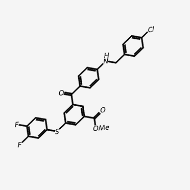 COC(=O)c1cc(Sc2ccc(F)c(F)c2)cc(C(=O)c2ccc(NCc3ccc(Cl)cc3)cc2)c1